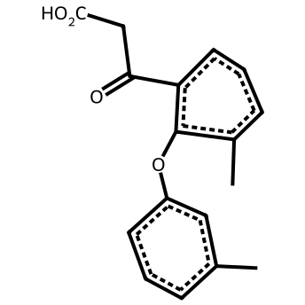 Cc1cccc(Oc2c(C)cccc2C(=O)CC(=O)O)c1